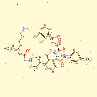 NCCCC[C@@H](NC(=O)CN1CC=C(c2cccc3c2CCN(C(=O)[C@H]2CC(c4cccc(Cl)c4F)=NO2)[C@@H]3C(=O)Nc2ccc(C(=O)O)cc2)CC1)C(=O)O